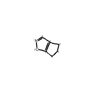 c1noc2c1CCC2